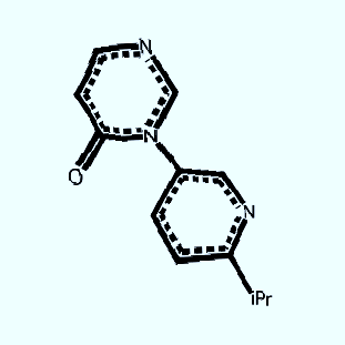 CC(C)c1ccc(-n2cnccc2=O)cn1